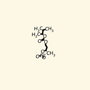 CC(C)C(C)OC(=O)OCC[C@H](C)O[N+](=O)[O-]